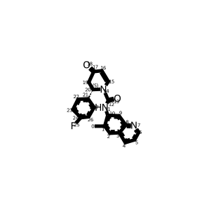 Cc1cc2cccnc2cc1NC(=O)N1C=CC(=O)C[C@H]1c1ccc(F)cc1